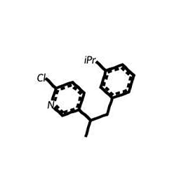 CC(C)c1cccc(CC(C)c2ccc(Cl)nc2)c1